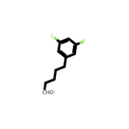 O=[C]CCCCc1cc(F)cc(F)c1